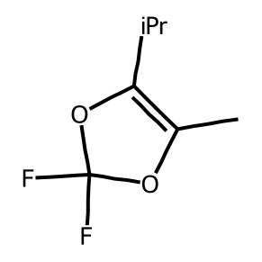 CC1=C(C(C)C)OC(F)(F)O1